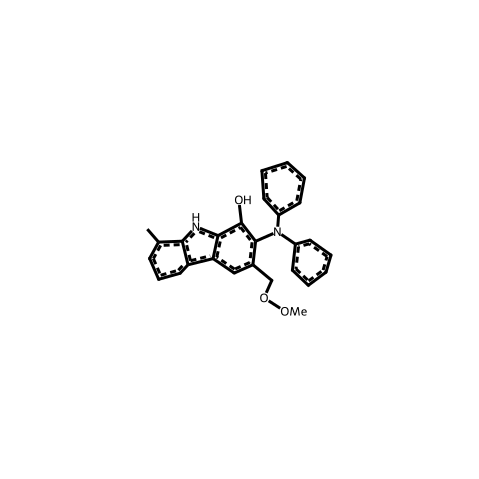 COOCc1cc2c([nH]c3c(C)cccc32)c(O)c1N(c1ccccc1)c1ccccc1